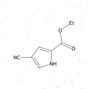 CCOC(=O)c1cc(C#N)c[nH]1